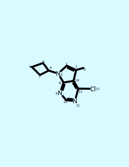 Cc1cn(C2CCC2)c2ncnc(Cl)c12